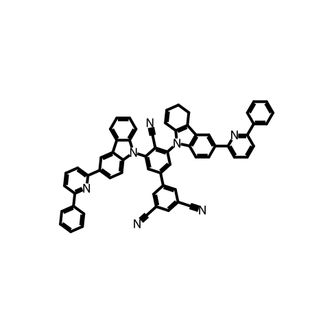 N#Cc1cc(C#N)cc(-c2cc(-n3c4c(c5cc(-c6cccc(-c7ccccc7)n6)ccc53)CCC=C4)c(C#N)c(-n3c4ccccc4c4cc(-c5cccc(-c6ccccc6)n5)ccc43)c2)c1